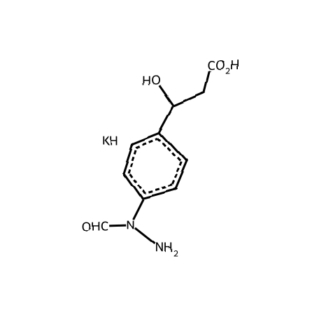 NN(C=O)c1ccc(C(O)CC(=O)O)cc1.[KH]